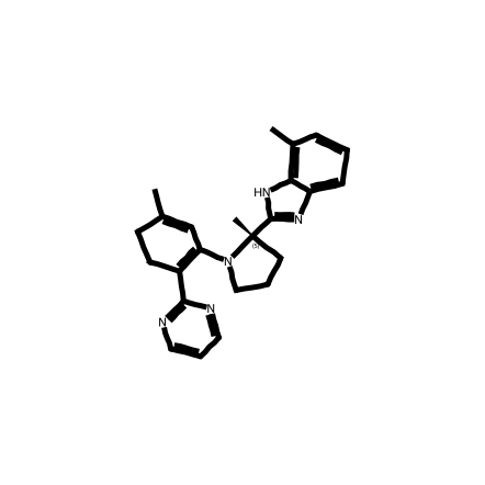 CC1=CC(N2CCC[C@@]2(C)c2nc3cccc(C)c3[nH]2)=C(c2ncccn2)[CH]C1